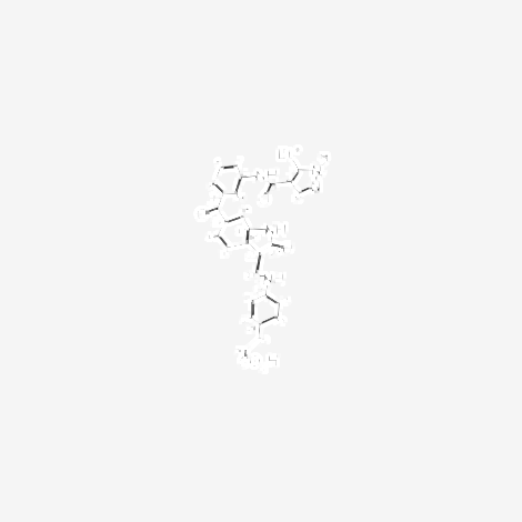 CCc1c(C(=O)Nc2cccc(C(=O)c3ccc4c(c3)NC(=O)/C4=C\Nc3ccc(CCC(=O)O)cc3)c2)cnn1C